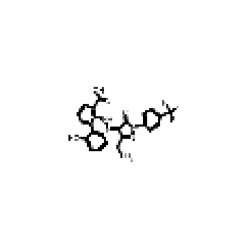 CCC1=NN(c2ccc(C(F)(F)F)cc2)C(=O)/C1=N\Nc1c(C(=O)O)cccc1-c1ccccc1O